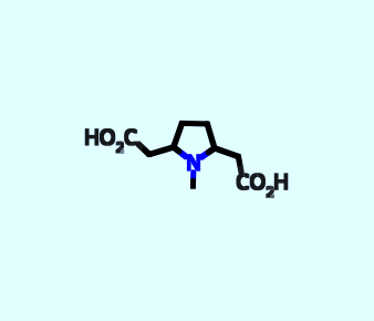 CN1C(CC(=O)O)CCC1CC(=O)O